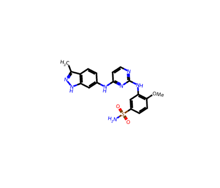 COc1ccc(S(N)(=O)=O)cc1Nc1nccc(Nc2ccc3c(C)n[nH]c3c2)n1